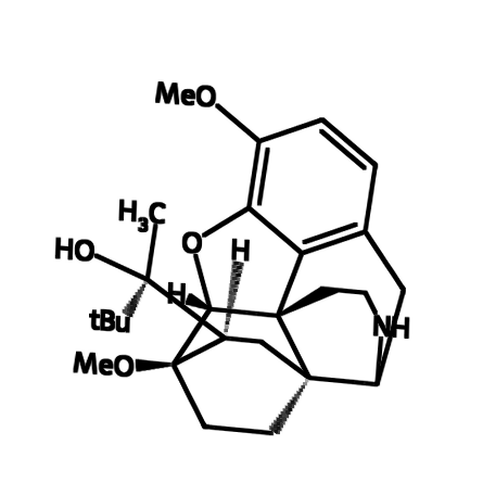 COc1ccc2c3c1O[C@H]1[C@@]4(OC)CC[C@@]5(C[C@@H]4[C@](C)(O)C(C)(C)C)C(C2)NCC[C@]315